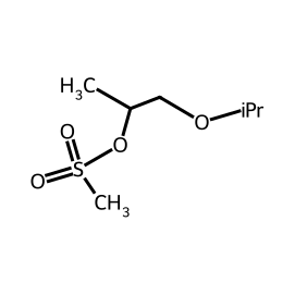 CC(C)OCC(C)OS(C)(=O)=O